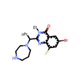 CCCC(c1nc2c(F)cc(Br)cc2c(=O)n1CC)N1CCCNCC1